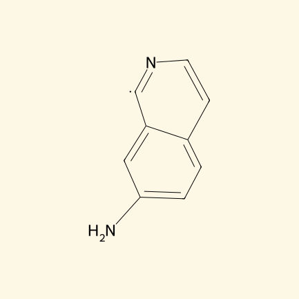 Nc1ccc2ccn[c]c2c1